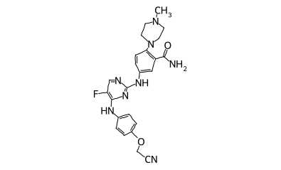 CN1CCN(c2ccc(Nc3ncc(F)c(Nc4ccc(OCC#N)cc4)n3)cc2C(N)=O)CC1